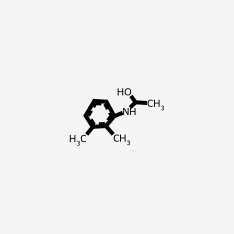 Cc1cccc(NC(C)O)c1C